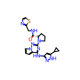 O=C(NCc1nccs1)[C@@H]1CCCN1c1nc(Nc2cc(C3CC3)[nH]n2)c2cccn2n1